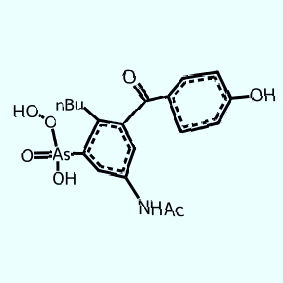 CCCCc1c(C(=O)c2ccc(O)cc2)cc(NC(C)=O)cc1[As](=O)(O)OO